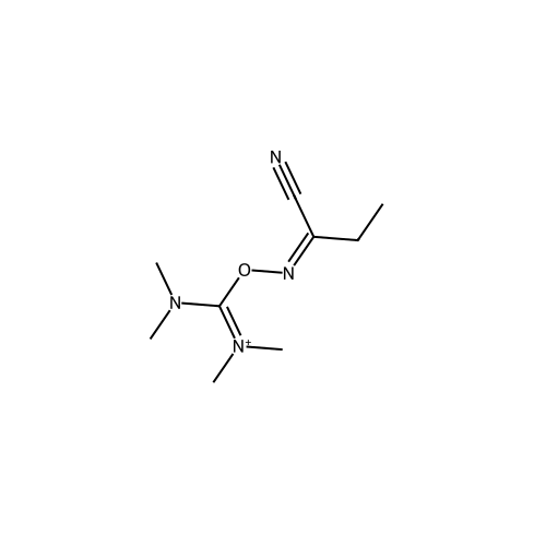 CC/C(C#N)=N/OC(N(C)C)=[N+](C)C